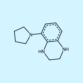 c1cc2c(c(N3CCCC3)c1)NCCN2